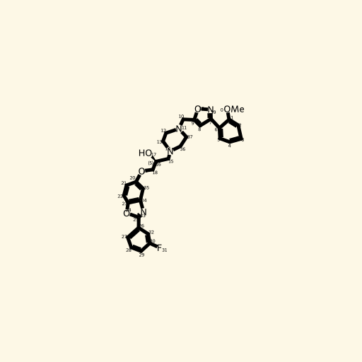 COc1ccccc1-c1cc(CN2CCN(C[C@H](O)COc3ccc4oc(-c5cccc(F)c5)nc4c3)CC2)on1